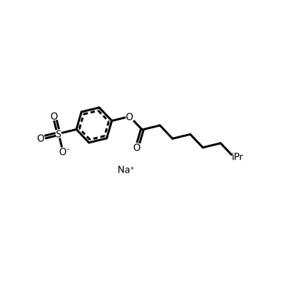 CC(C)CCCCCC(=O)Oc1ccc(S(=O)(=O)[O-])cc1.[Na+]